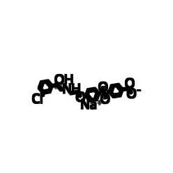 O=C([O-])c1ccc(S(=O)(=O)c2ccc(OCCNC[C@H](O)c3cccc(Cl)c3)cc2)cc1.[Na+]